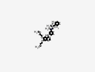 COCCOc1cc2ncnc(Nc3cccc(/C(N)=C/N(N)C(C)(C)c4ccccc4)c3)c2cc1OCCOC